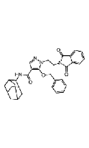 O=C(NC1C2CC3CC(C2)CC1C3)c1cnn(CCN2C(=O)c3ccccc3C2=O)c1OCc1ccccc1